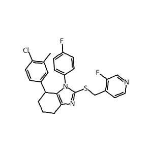 Cc1cc(C2CCCc3nc(SCc4ccncc4F)n(-c4ccc(F)cc4)c32)ccc1Cl